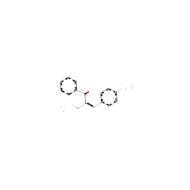 Nc1ccc(C=C(CON=O)C(=O)c2ccccc2)cc1